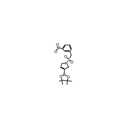 CC1(C)OB(C2=CCN(S(=O)(=O)Cc3cccc([N+](=O)[O-])c3)C2)OC1(C)C